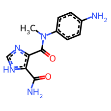 CN(C(=O)c1nc[nH]c1C(N)=O)c1ccc(N)cc1